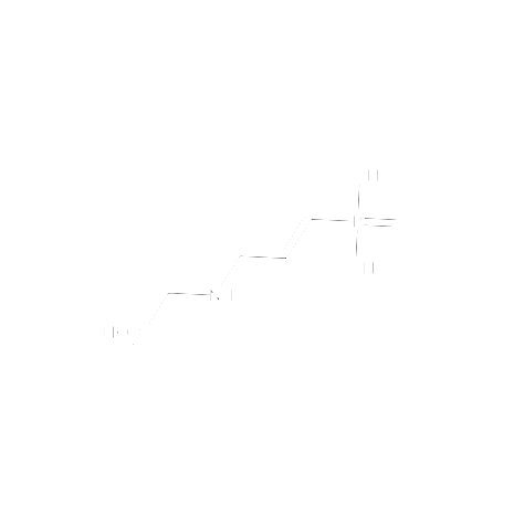 O=C(O)CNCC=CP(=O)(O)O